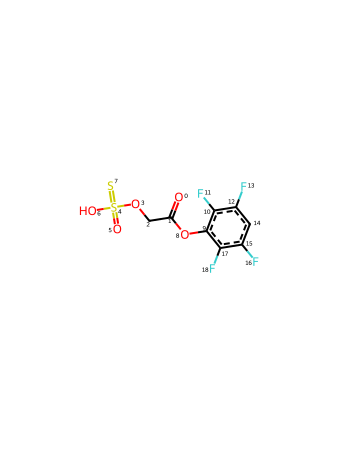 O=C(COS(=O)(O)=S)Oc1c(F)c(F)cc(F)c1F